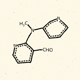 CN(c1cccnc1)c1ncccc1C=O